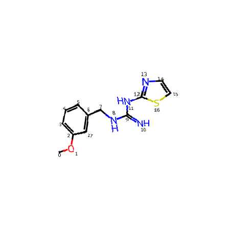 COc1cccc(CNC(=N)Nc2nccs2)c1